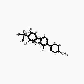 CC1CC=C(c2ccc3c(oc4c(F)c(C(F)(F)F)c(F)cc43)c2F)CC1